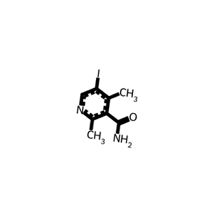 Cc1ncc(I)c(C)c1C(N)=O